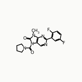 Cn1c(=O)n(C(=O)N2CCCC2)c2cnc(-c3cc(F)ccc3F)nc21